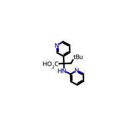 CC(C)(C)CC(Nc1ccccn1)(C(=O)O)c1cccnc1